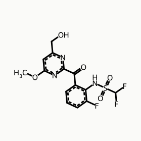 COc1cc(CO)nc(C(=O)c2cccc(F)c2NS(=O)(=O)C(F)F)n1